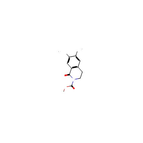 COc1cc2c(cc1OC)C(=O)N(C(=O)OC(C)(C)C)CC2